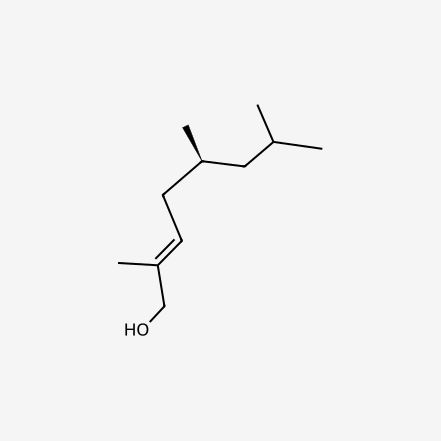 C/C(=C\C[C@@H](C)CC(C)C)CO